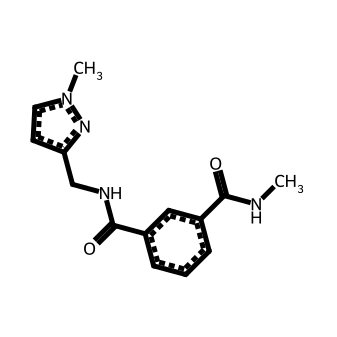 CNC(=O)c1cccc(C(=O)NCc2ccn(C)n2)c1